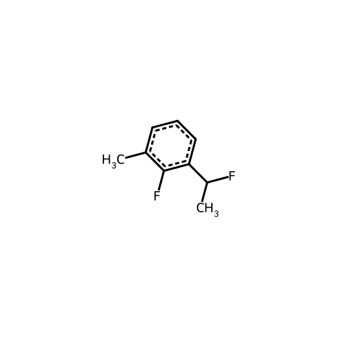 Cc1cccc(C(C)F)c1F